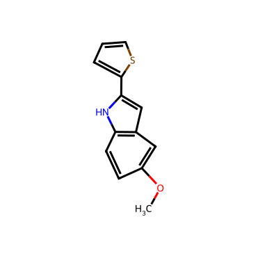 COc1ccc2[nH]c(-c3cccs3)cc2c1